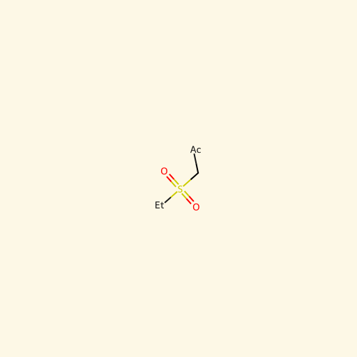 CCS(=O)(=O)CC(C)=O